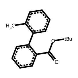 Cc1ccccc1-c1ccccc1C(=O)OC(C)(C)C